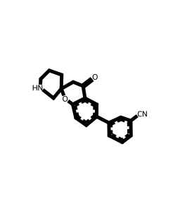 N#Cc1cccc(-c2ccc3c(c2)C(=O)CC2(CCCNC2)O3)c1